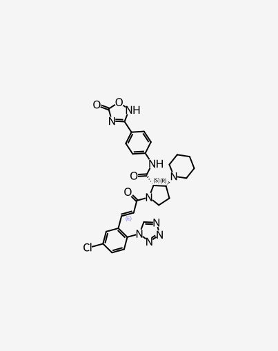 O=C(Nc1ccc(-c2nc(=O)o[nH]2)cc1)[C@@H]1[C@H](N2CCCCC2)CCN1C(=O)/C=C/c1cc(Cl)ccc1-n1cnnn1